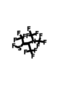 FS/C(=C(/N(C(F)(F)F)C(F)(F)F)C(F)(F)F)C(F)(F)F